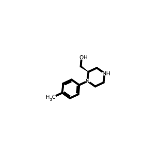 Cc1ccc(N2CCNC[C@@H]2CO)cc1